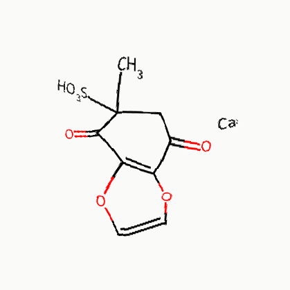 CC1(S(=O)(=O)O)CC(=O)C2=C(OC=CO2)C1=O.[Ca]